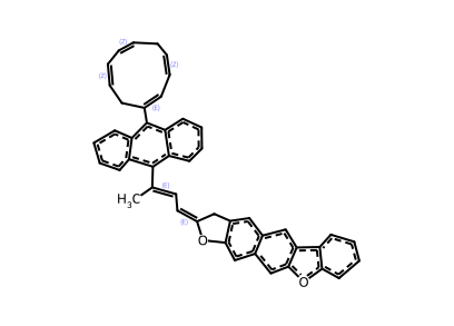 C/C(=C\C=C1/Cc2cc3cc4c(cc3cc2O1)oc1ccccc14)c1c2ccccc2c(/C2=C/C=C\C/C=C\C=C/C2)c2ccccc12